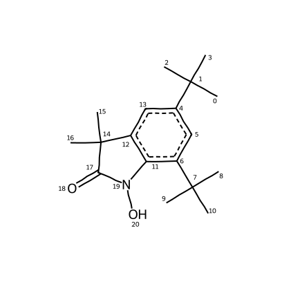 CC(C)(C)c1cc(C(C)(C)C)c2c(c1)C(C)(C)C(=O)N2O